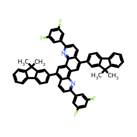 CC1(C)c2ccccc2-c2ccc(-c3cc4c(cc(-c5ccc6c(c5)C(C)(C)c5ccccc5-6)c5ccc(-c6cc(F)cc(F)c6)nc54)c4nc(-c5cc(F)cc(F)c5)ccc34)cc21